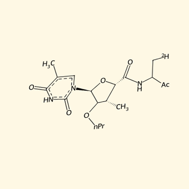 [2H]CC(NC(=O)[C@H]1O[C@H](n2cc(C)c(=O)[nH]c2=O)C(OCCC)[C@H]1C)C(C)=O